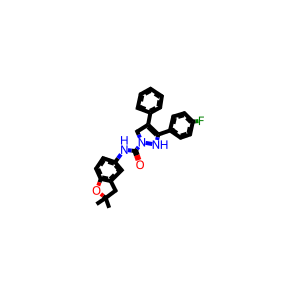 CC1(C)Cc2cc(NC(=O)N3CC(c4ccccc4)=C(c4ccc(F)cc4)N3)ccc2O1